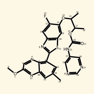 COc1cnc2c(-c3nc4cc(F)c(OC(C)C(C)OC(=O)Nc5cncnc5)cc4s3)cc(C)cc2n1